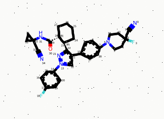 N#CC1(F)CCN(c2ccc(-c3cn(-c4ccc(F)cc4)nc3[C@@H]3CCCC[C@H]3C(=O)NC3(C#N)CC3)cc2)CC1